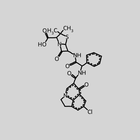 CC1(C)SC2C(NC(=O)C(NC(=O)c3cn4c5c(cc(Cl)cc5c3=O)CC4)c3ccccc3)C(=O)N2C1C(=O)O